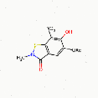 CC(=O)Oc1cc2c(=O)n(C)sc2c([N+](=O)[O-])c1O